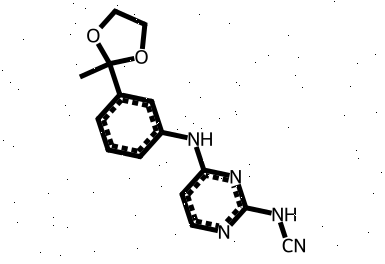 CC1(c2cccc(Nc3ccnc(NC#N)n3)c2)OCCO1